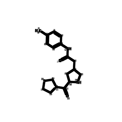 Cc1ccc(NC(=O)CC2CNC(C(=O)N3CCSC3)C2)cc1